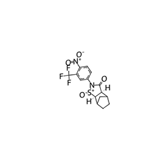 O=C1[C@H]2C3CCC(C3)[C@H]2[S+]([O-])N1c1ccc([N+](=O)[O-])c(C(F)(F)F)c1